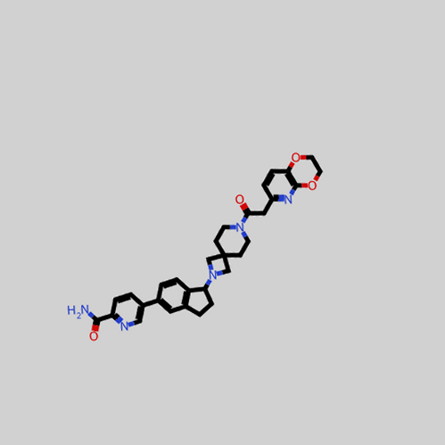 NC(=O)c1ccc(-c2ccc3c(c2)CCC3N2CC3(CCN(C(=O)Cc4ccc5c(n4)OCCO5)CC3)C2)cn1